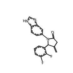 C=C1CC(=O)N(c2ccc3[nH]cnc3c2)C1c1cccc(F)c1F